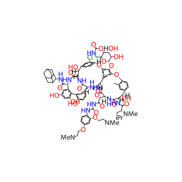 CNCCOc1ccc(NC(=O)NC(=O)C[C@@H]2NC(=O)[C@H](NC(=O)[C@@H](CC(C)C)NC)[C@H](O)c3ccc(c(C)c3)Oc3cc4cc(c3O[C@@H]3O[C@@H]5CNC(=O)O[C@H]5[C@H](O)[C@H]3O)Oc3ccc(cc3Cl)[C@@H](O)[C@@H]3NC(=O)[C@H](NC(=O)[C@@H]4NC2=O)c2ccc(O)c(c2)-c2c(O)cc(O)cc2[C@@H](C(=O)NC2C4CC5CC(C4)CC2C5)NC3=O)c(OCCNC)c1